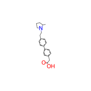 CC1CCCN1CCc1ccc(-c2ccc(CC(=O)O)cc2)cc1